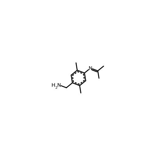 CC(C)=Nc1cc(C)c(CN)cc1C